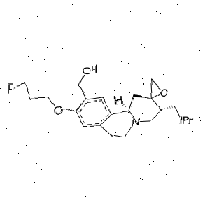 CC(C)C[C@@H]1CN2CCc3cc(OCCCF)c(CO)cc3[C@H]2C[C@]12CO2